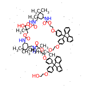 CC(C)OCCOc1ccc(C2(c3ccc(OCCOC(=O)NC4CC(C)(C)CC(C)(CNC(=O)OCC(C)(COC(=O)NC5CC(C)(C)CC(C)(CNC(=O)C(C)(C)OCCOc6ccc(C7(c8ccc(OCCO)cc8)c8ccccc8-c8ccccc87)cc6)C5)C(=O)O)C4)cc3)c3ccccc3-c3ccccc32)cc1